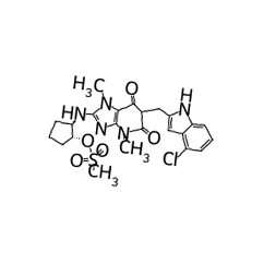 CN1C(=O)C(Cc2cc3c(Cl)cccc3[nH]2)C(=O)c2c1nc(N[C@@H]1CCC[C@H]1OS(C)(=O)=O)n2C